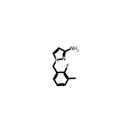 Cc1cccc(Cn2ccc(N)n2)c1F